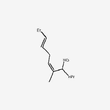 CC/C=C/C/C=C(/C)C(CCC)N=O